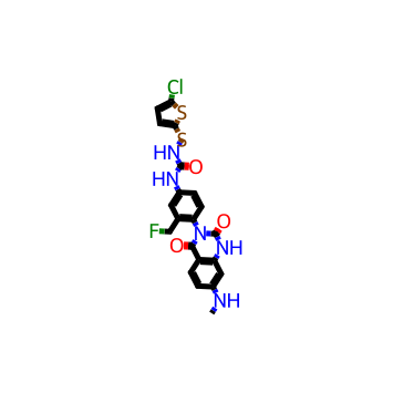 CNc1ccc2c(=O)n(-c3ccc(NC(=O)NSc4ccc(Cl)s4)cc3CF)c(=O)[nH]c2c1